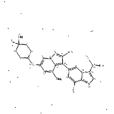 COc1nc(NC2CCC(C)(O)CC2)nn2cc(F)c(-c3cc(F)c4ncc(C(F)F)n4c3)c12